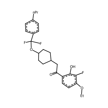 CCCc1ccc(C(F)(F)OC2CCC(CC(=O)c3ccc(OCC)c(F)c3O)CC2)cc1